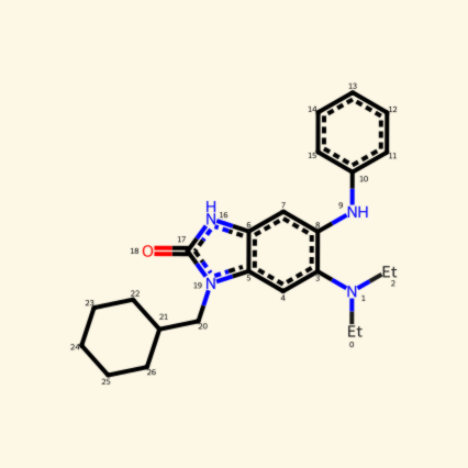 CCN(CC)c1cc2c(cc1Nc1ccccc1)[nH]c(=O)n2CC1CCCCC1